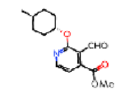 COC(=O)c1ccnc(O[C@H]2CC[C@H](C)CC2)c1C=O